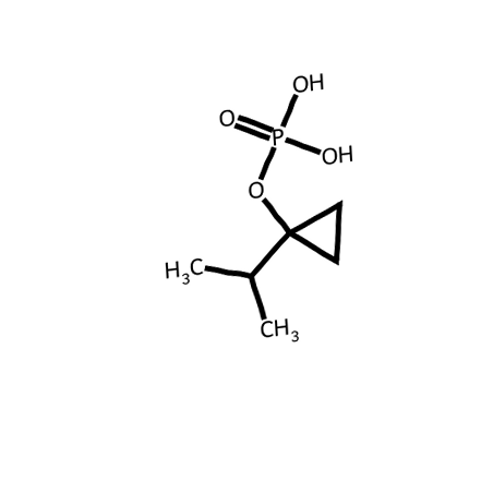 CC(C)C1(OP(=O)(O)O)CC1